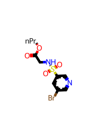 CCCOC(=O)CNS(=O)(=O)c1cncc(Br)c1